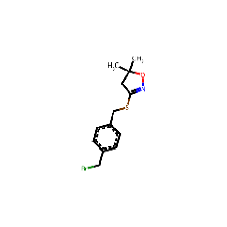 CC1(C)CC(SCc2ccc(CBr)cc2)=NO1